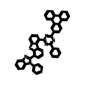 c1ccc(-c2nc(-c3ccc4c5ccccc5c5ccccc5c4c3)nc(-c3cccc4sc5c(-c6nc7ccccc7n6-c6ccccc6)cccc5c34)n2)cc1